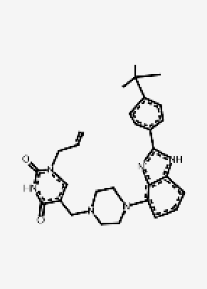 C=CCn1cc(CN2CCN(c3cccc4[nH]c(-c5ccc(C(C)(C)C)cc5)nc34)CC2)c(=O)[nH]c1=O